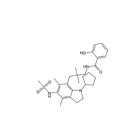 Cc1c2c(c(CC(C)(C)CNC(=O)c3ccccc3O)c(C)c1NS(C)(=O)=O)N(C1CCCC1)CC2